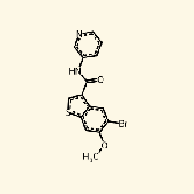 COc1cc2scc(C(=O)Nc3cccnc3)c2cc1Br